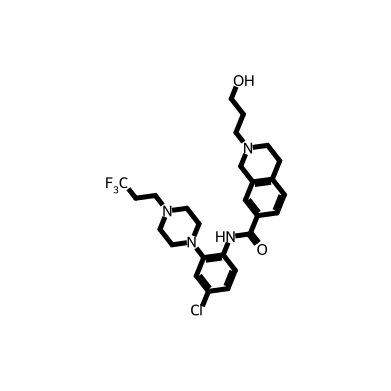 O=C(Nc1ccc(Cl)cc1N1CCN(CCC(F)(F)F)CC1)c1ccc2c(c1)CN(CCCO)CC2